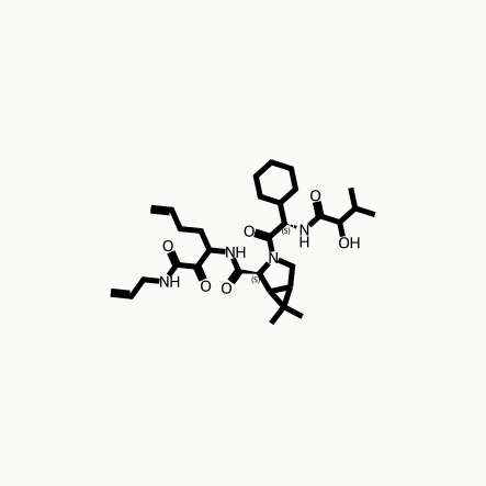 C=CCCC(NC(=O)[C@@H]1C2C(CN1C(=O)[C@@H](NC(=O)C(O)C(C)C)C1CCCCC1)C2(C)C)C(=O)C(=O)NCC=C